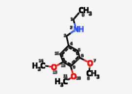 CCNCc1cc(OC)c(OC)c(OC)c1